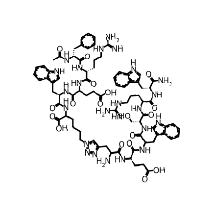 CC(=O)N[C@H](Cc1ccccc1)C(=O)N[C@H](CCCNC(=N)N)C(=O)NC(CCC(=O)O)C(=O)N[C@H](Cc1c[nH]c2ccccc12)C(=O)NC(CCCCn1cc(CC(N)C(=O)N[C@H](CCC(=O)O)C(=O)NC(Cc2c[nH]c3ccccc23)C(=O)N[C@H](CO)C(=O)NC(CCCNC(=N)N)C(=O)N[C@H](Cc2c[nH]c3ccccc23)C(N)=O)nn1)C(=O)O